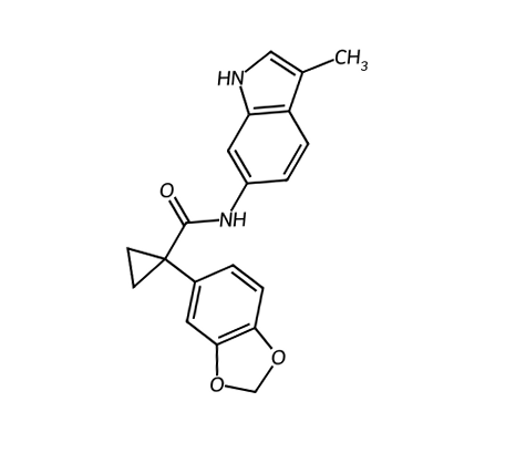 Cc1c[nH]c2cc(NC(=O)C3(c4ccc5c(c4)OCO5)CC3)ccc12